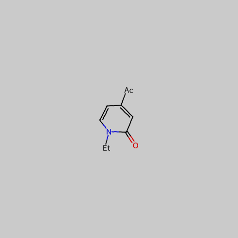 CCn1ccc(C(C)=O)cc1=O